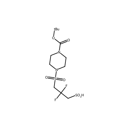 CC(C)(C)OC(=O)N1CCN(S(=O)(=O)CC(F)(F)CS(=O)(=O)O)CC1